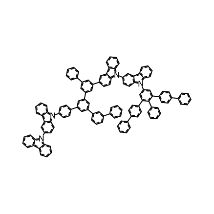 c1ccc(-c2ccc(-c3cc(-n4c5ccccc5c5cc(-n6c7ccccc7c7cc(-c8cc(-c9ccccc9)cc(-c9cc(-c%10ccc(-n%11c%12ccccc%12c%12cc(-n%13c%14ccccc%14c%14ccccc%14%13)ccc%12%11)cc%10)cc(-c%10cccc(-c%11ccccc%11)c%10)c9)c8)ccc76)ccc54)cc(-c4ccc(-c5ccccc5)cc4)c3-c3ccccc3)cc2)cc1